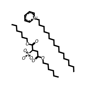 CCCCCCCCCCCCCCCC[n+]1ccccc1.CCCCCCOC(=O)CC(C(=O)OCCCCCC)S(=O)(=O)[O-]